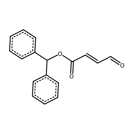 O=CC=CC(=O)OC(c1ccccc1)c1ccccc1